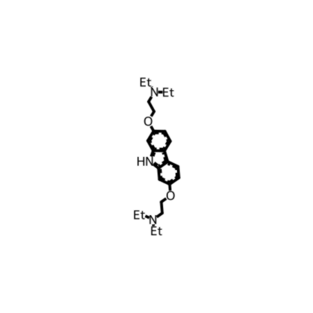 CCN(CC)CCOc1ccc2c(c1)[nH]c1cc(OCCN(CC)CC)ccc12